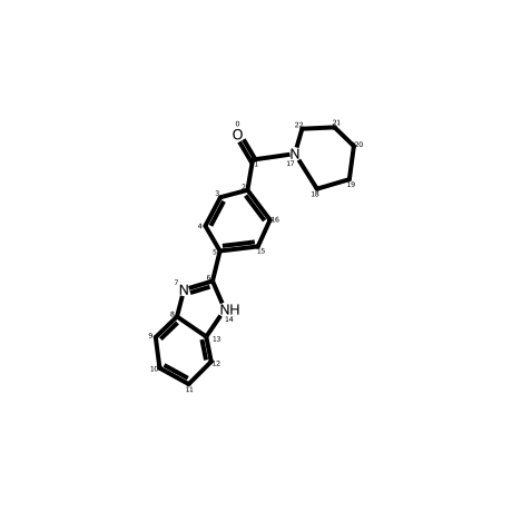 O=C(c1ccc(-c2nc3ccccc3[nH]2)cc1)N1CC[CH]CC1